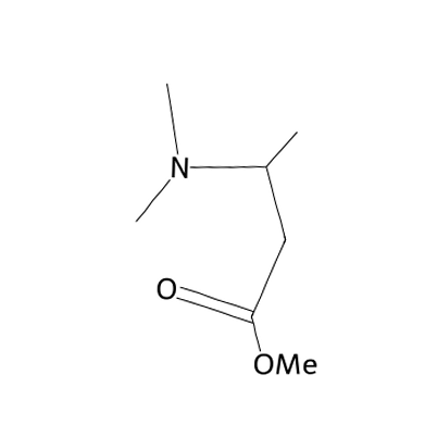 COC(=O)CC(C)N(C)C